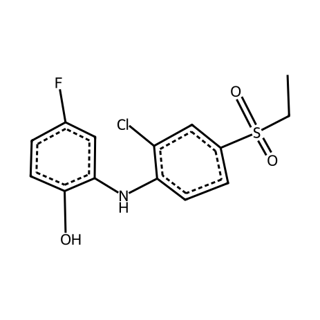 CCS(=O)(=O)c1ccc(Nc2cc(F)ccc2O)c(Cl)c1